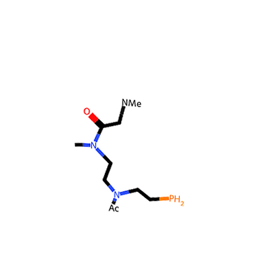 CNCC(=O)N(C)CCN(CCP)C(C)=O